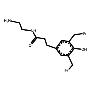 CC(C)Cc1cc(CCC(=O)NCCN)cc(CC(C)C)c1O